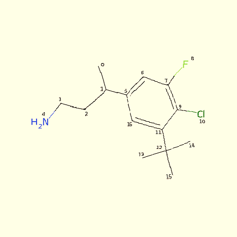 CC(CCN)c1cc(F)c(Cl)c(C(C)(C)C)c1